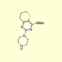 CNc1nc(N2CCNCC2)nc2c1SCCC2